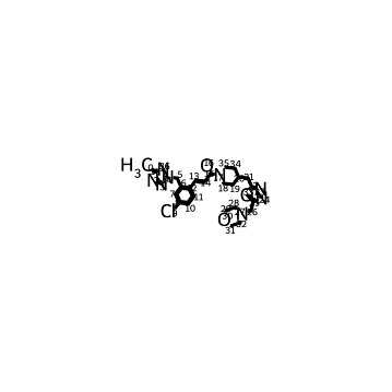 Cc1nnn(Cc2cc(Cl)ccc2C=CC(=O)N2CCC(Cc3nnc(CN4CCOCC4)o3)CC2)n1